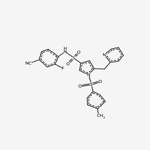 Cc1ccc(S(=O)(=O)n2cc(S(=O)(=O)Nc3ccc(C#N)cc3F)cc2Cc2ccccn2)cc1